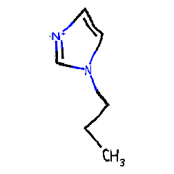 CCCN1C=C[N+]=C1